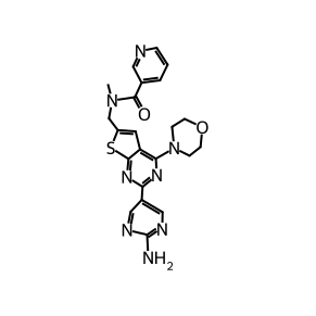 CN(Cc1cc2c(N3CCOCC3)nc(-c3cnc(N)nc3)nc2s1)C(=O)c1cccnc1